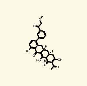 COCC(=O)c1cccc(-c2ccc(O)c3c2C[C@H]2C[C@H]4CC(O)=C(C(C)=O)C(=O)[C@@]4(O)C(O)=C2C3=O)c1